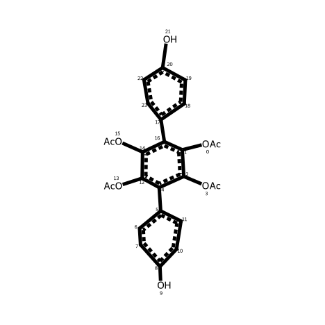 CC(=O)Oc1c(OC(C)=O)c(-c2ccc(O)cc2)c(OC(C)=O)c(OC(C)=O)c1-c1ccc(O)cc1